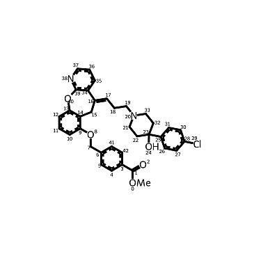 COC(=O)c1ccc(COc2cccc3c2CC(=CCCN2CCC(O)(c4ccc(Cl)cc4)CC2)c2cccnc2O3)cc1